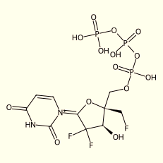 O=C1C=C/[N+](=C2\O[C@](CF)(COP(=O)(O)OP(=O)(O)OP(=O)(O)O)[C@@H](O)C2(F)F)C(=O)N1